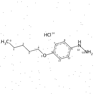 CCCCCOc1ccc(NN)cc1.Cl